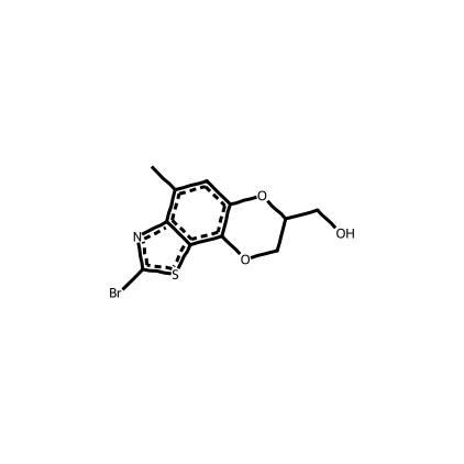 Cc1cc2c(c3sc(Br)nc13)OCC(CO)O2